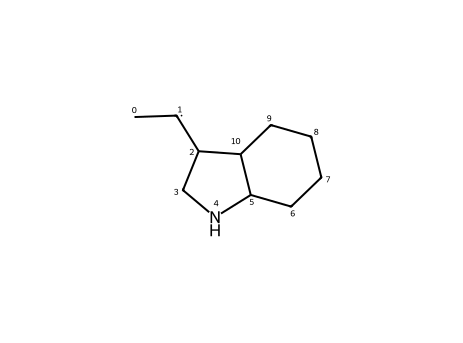 C[CH]C1CNC2CCCCC12